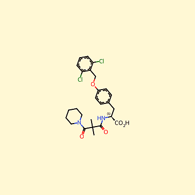 CC(C)(C(=O)N[C@@H](Cc1ccc(OCc2c(Cl)cccc2Cl)cc1)C(=O)O)C(=O)N1CCCCC1